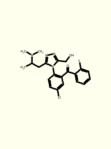 CC(Cc1nnc(CO)n1-c1ccc(Cl)cc1C(=O)c1ccccc1F)N(C)C